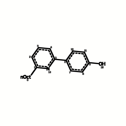 CCCCCCCCc1cccc(-c2ccc(O)cc2)n1